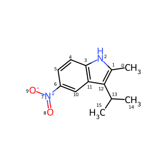 Cc1[nH]c2ccc([N+](=O)[O-])cc2c1C(C)C